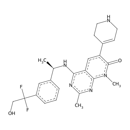 Cc1nc(N[C@H](C)c2cccc(C(F)(F)CO)c2)c2cc(C3=CCNCC3)c(=O)n(C)c2n1